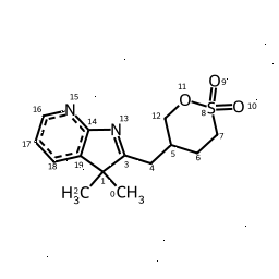 CC1(C)C(CC2CCS(=O)(=O)OC2)=Nc2ncccc21